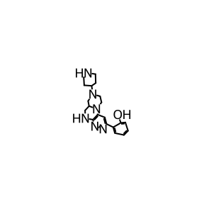 Oc1ccccc1-c1cc2c(nn1)NCC1CN(C3CCNCC3)CCN21